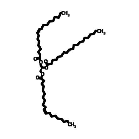 CCCCCCCC/C=C\CCCCCCCCCC(=O)OC[C@@H](COC(=O)CCCCCCC/C=C\CCCCCCCCC)OC(=O)CCCCCCCCCCCCCCCCCCC